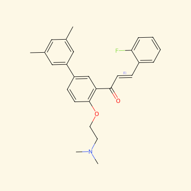 Cc1cc(C)cc(-c2ccc(OCCN(C)C)c(C(=O)/C=C/c3ccccc3F)c2)c1